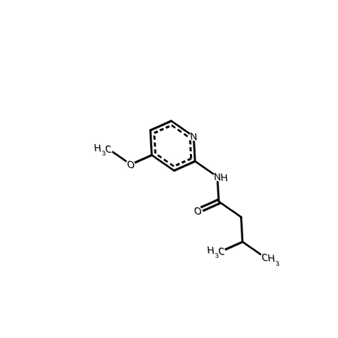 COc1ccnc(NC(=O)CC(C)C)c1